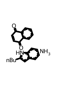 CCCCc1cc2ccccc2[nH]1.N.O=C1C=CC(=O)c2ccccc21